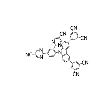 N#Cc1cnc(-c2ccc(-n3c4ccc(-c5cc(C#N)cc(C#N)c5)cc4c4cc(-c5cc(C#N)cc(C#N)c5)ccc43)c(-c3ncc(C#N)cn3)c2)nc1